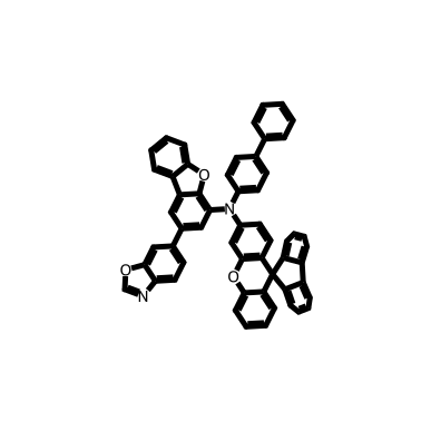 c1ccc(-c2ccc(N(c3ccc4c(c3)Oc3ccccc3C43c4ccccc4-c4ccccc43)c3cc(-c4ccc5ncoc5c4)cc4c3oc3ccccc34)cc2)cc1